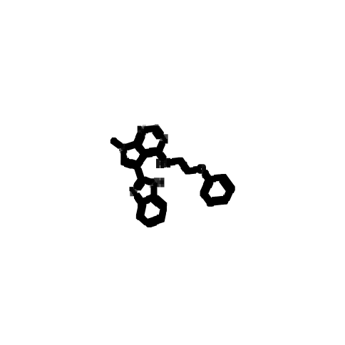 Cn1cc(-c2nc3ccccc3[nH]2)c2c(NCCOc3ccccc3)ncnc21